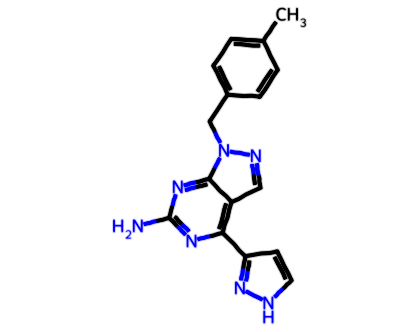 Cc1ccc(Cn2ncc3c(-c4cc[nH]n4)nc(N)nc32)cc1